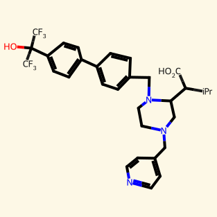 CC(C)C(C(=O)O)C1CN(Cc2ccncc2)CCN1Cc1ccc(-c2ccc(C(O)(C(F)(F)F)C(F)(F)F)cc2)cc1